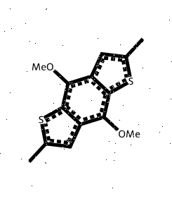 COc1c2cc(C)sc2c(OC)c2cc(C)sc12